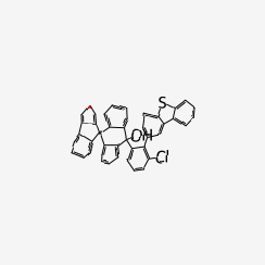 OC1(c2cccc(Cl)c2-c2ccc3sc4ccccc4c3c2)c2ccccc2C2(c3ccccc3-c3ccccc32)c2ccccc21